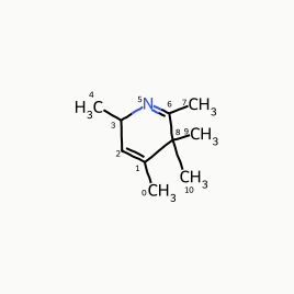 CC1=CC(C)N=C(C)C1(C)C